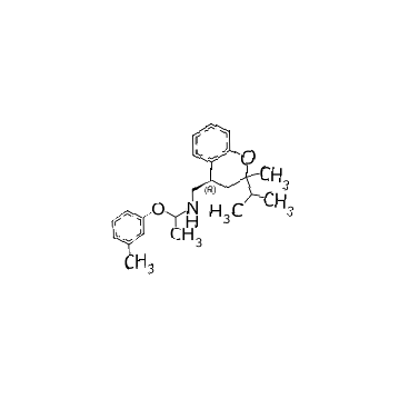 Cc1cccc(OC(C)NC[C@@H]2CC(C)(C(C)C)Oc3ccccc32)c1